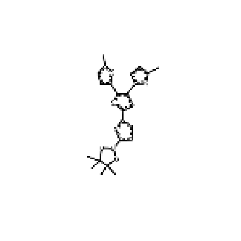 Cc1ccc(-c2cc(-c3ccc(B4OC(C)(C)C(C)(C)O4)s3)sc2-c2ccc(C)s2)s1